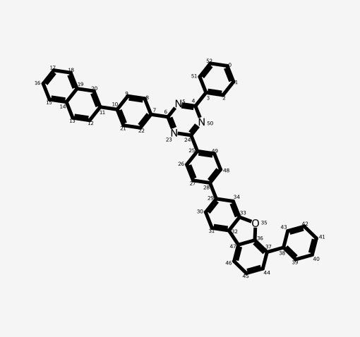 c1ccc(-c2nc(-c3ccc(-c4ccc5ccccc5c4)cc3)nc(-c3ccc(-c4ccc5c(c4)oc4c(-c6ccccc6)cccc45)cc3)n2)cc1